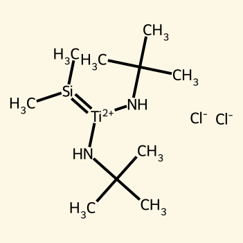 C[Si](C)=[Ti+2]([NH]C(C)(C)C)[NH]C(C)(C)C.[Cl-].[Cl-]